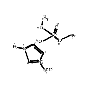 CCCCCCCCCC[n+]1ccn(CC)c1.CCCOP(=O)([O-])OCCC